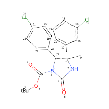 CC(C)(C)OC(=O)N1C(=O)NC(C)(c2cccc(Cl)c2)C1c1ccc(Cl)cc1